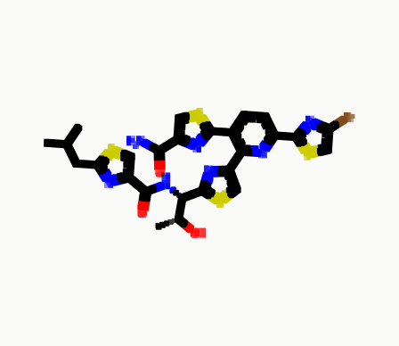 CC(C)Cc1nc(C(=O)N[C@H](c2nc(-c3nc(-c4nc(Br)cs4)ccc3-c3nc(C(N)=O)cs3)cs2)[C@@H](C)O)cs1